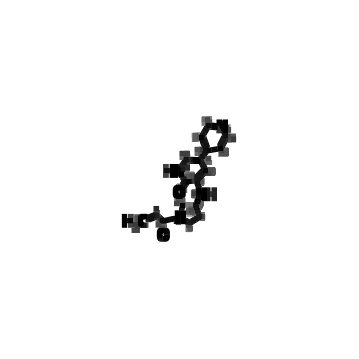 C=CC(=O)N1CC[C@H](Nc2cc(-c3ccncc3)c[nH]c2=O)C1